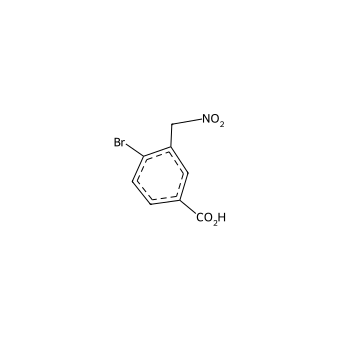 O=C(O)c1ccc(Br)c(C[N+](=O)[O-])c1